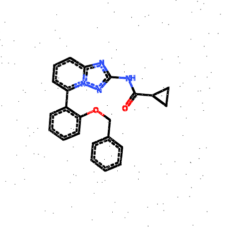 O=C(Nc1nc2cccc(-c3ccccc3OCc3ccccc3)n2n1)C1CC1